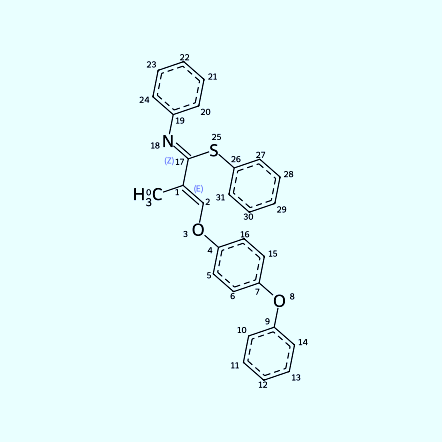 CC(=C\Oc1ccc(Oc2ccccc2)cc1)/C(=N/c1ccccc1)Sc1ccccc1